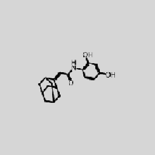 O=C(C=C1C2CC3CC(C2)CC1C3)Nc1ccc(O)cc1O